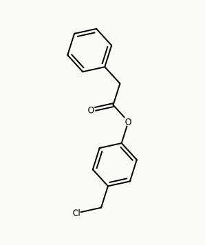 O=C(Cc1ccccc1)Oc1ccc(CCl)cc1